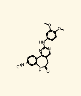 [C-]#[N+]c1ccc2c(c1)NC(=O)Cc1cnc(Nc3ccc(OC)c(OC)c3)nc1-2